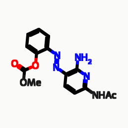 COC(=O)Oc1ccccc1/N=N/c1ccc(NC(C)=O)nc1N